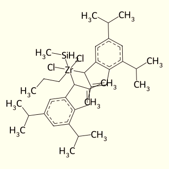 CC[CH2][Zr]([Cl])([Cl])([SiH2]C)([CH]1C(C)=Cc2c(C(C)C)cc(C(C)C)cc21)[CH]1C(C)=Cc2c(C(C)C)cc(C(C)C)cc21